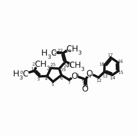 CC(C)=CC1CC(COC(=O)OCc2ccccc2)C(C(C)=C(C)C)C1